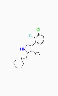 CC1(CC2NCC(c3cccc(Cl)c3F)C2C#N)CCCCC1